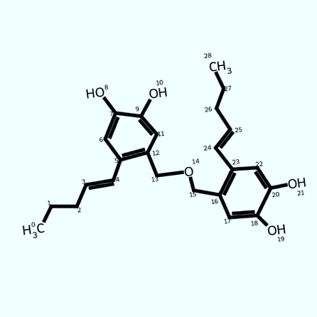 CCCC=Cc1cc(O)c(O)cc1COCc1cc(O)c(O)cc1C=CCCC